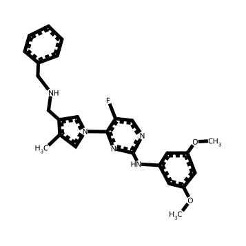 COc1cc(Nc2ncc(F)c(-n3cc(C)c(CNCc4ccccc4)c3)n2)cc(OC)c1